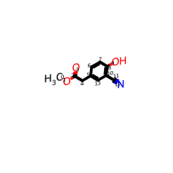 COC(=O)Cc1ccc(O)c(C#N)c1